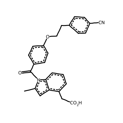 Cc1cc2c(CC(=O)O)cccc2n1C(=O)c1ccc(OCCc2ccc(C#N)cc2)cc1